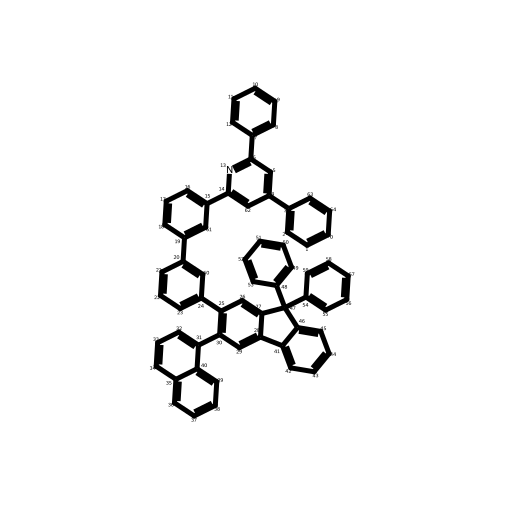 c1ccc(-c2cc(-c3ccccc3)nc(-c3cccc(-c4cccc(-c5cc6c(cc5-c5cccc7ccccc57)-c5ccccc5C6(c5ccccc5)c5ccccc5)c4)c3)c2)cc1